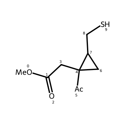 COC(=O)CC1(C(C)=O)CC1CS